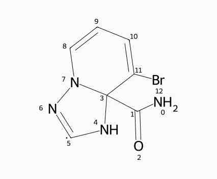 NC(=O)C12N[C]=NN1C=CC=C2Br